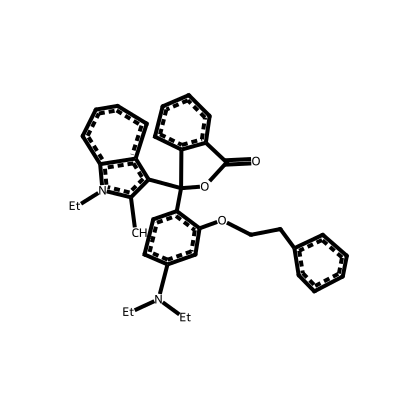 CCN(CC)c1ccc(C2(c3c(C)n(CC)c4ccccc34)OC(=O)c3ccccc32)c(OCCc2ccccc2)c1